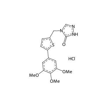 COc1cc(-c2ccc(Cn3cn[nH]c3=O)s2)cc(OC)c1OC.Cl